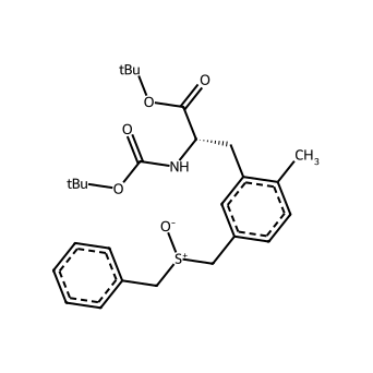 Cc1ccc(C[S+]([O-])Cc2ccccc2)cc1C[C@H](NC(=O)OC(C)(C)C)C(=O)OC(C)(C)C